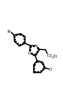 CCOC(=O)Cc1nc(-c2ccc(Br)cc2)oc1-c1cccc(Cl)c1